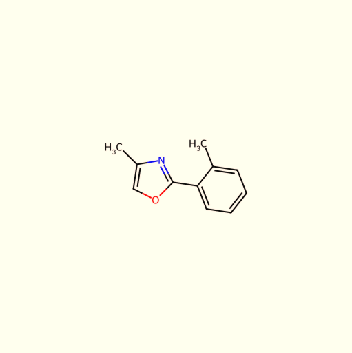 Cc1coc(-c2ccccc2C)n1